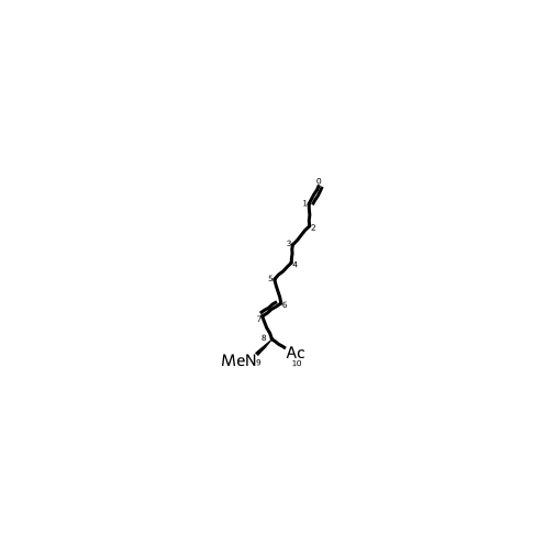 C=CCCCC/C=C/[C@H](NC)C(C)=O